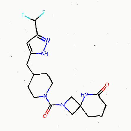 O=C1CCCC2(CN(C(=O)N3CCC(Cc4cc(C(F)F)n[nH]4)CC3)C2)N1